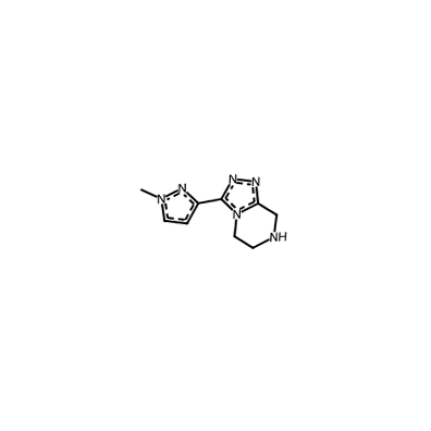 Cn1ccc(-c2nnc3n2CCNC3)n1